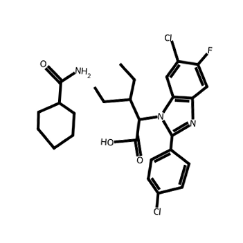 CCC(CC)C(C(=O)O)n1c(-c2ccc(Cl)cc2)nc2cc(F)c(Cl)cc21.NC(=O)C1CCCCC1